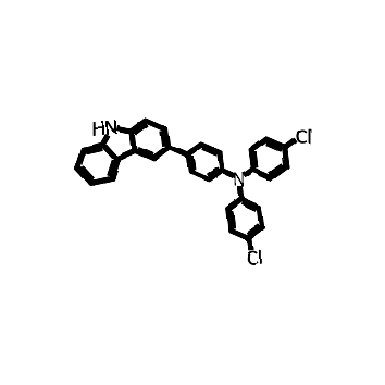 Clc1ccc(N(c2ccc(Cl)cc2)c2ccc(-c3ccc4[nH]c5ccccc5c4c3)cc2)cc1